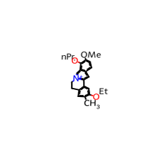 CCCOc1c(OC)ccc2cc3[n+](cc12)CCc1cc(C)c(OCC)cc1-3